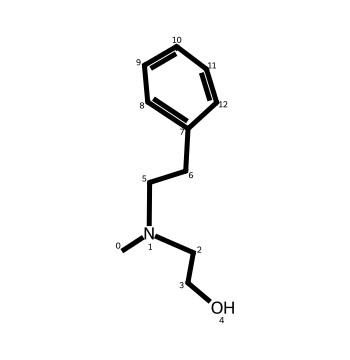 CN(CCO)CCc1cc[c]cc1